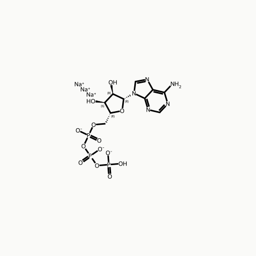 Nc1ncnc2c1ncn2[C@@H]1O[C@H](COP(=O)([O-])OP(=O)([O-])OP(=O)([O-])O)[C@@H](O)[C@H]1O.[Na+].[Na+].[Na+]